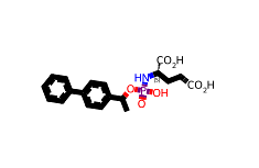 CC(OP(=O)(O)N[C@@H](CCC(=O)O)C(=O)O)c1ccc(-c2ccccc2)cc1